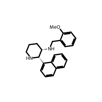 COc1ccccc1CN[C@H]1CCCN[C@H]1c1cccc2ccccc12